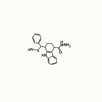 CCCSC(c1ccccc1)C1CCC(C(=O)NN)c2c1[nH]c1ccccc21